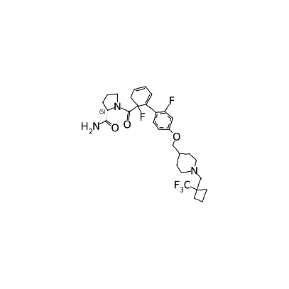 NC(=O)[C@@H]1CCCN1C(=O)C1(F)CC=CC=C1c1ccc(OCC2CCN(CC3(C(F)(F)F)CCC3)CC2)cc1F